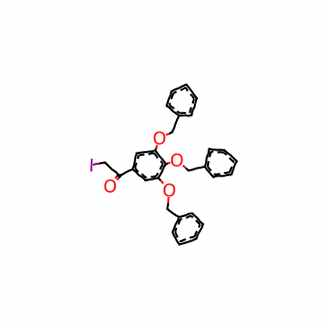 O=C(CI)c1cc(OCc2ccccc2)c(OCc2ccccc2)c(OCc2ccccc2)c1